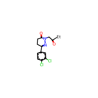 CCC(=O)CN1N=C(c2ccc(Cl)c(Cl)c2)CCC1=O